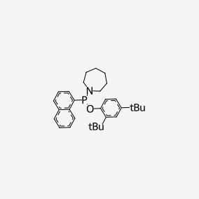 CC(C)(C)c1ccc(OP(c2cccc3ccccc23)N2CCCCCC2)c(C(C)(C)C)c1